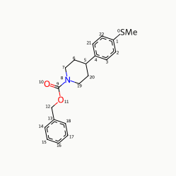 CSc1ccc(C2CCN(C(=O)OCc3ccccc3)CC2)cc1